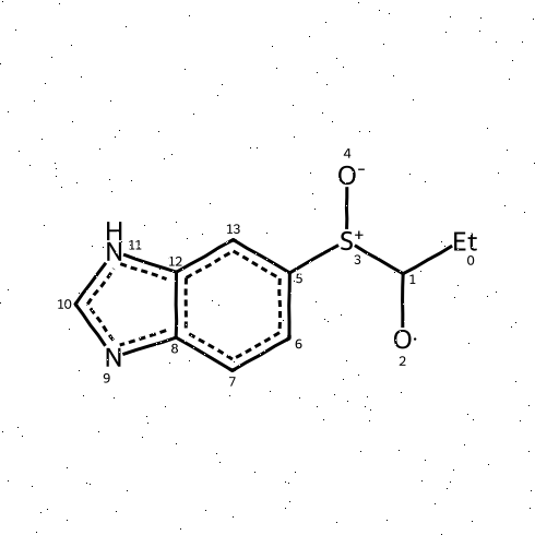 CCC([O])[S+]([O-])c1ccc2nc[nH]c2c1